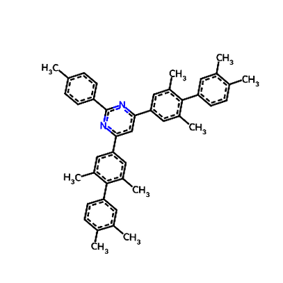 Cc1ccc(-c2nc(-c3cc(C)c(-c4ccc(C)c(C)c4)c(C)c3)cc(-c3cc(C)c(-c4ccc(C)c(C)c4)c(C)c3)n2)cc1